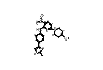 Cc1nc(-c2ccc(Nc3nc(N4CCC(N)CC4)ccc3[N+](=O)[O-])cc2)cs1